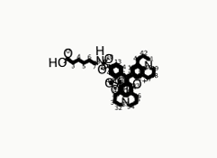 O=C(O)CCCCCNS(=O)(=O)c1ccc(-c2c3cc4c5c(c3[o+]c3c6c7c(cc23)CCCN7CCC6)CCCN5CCC4)c(S(=O)(=O)O)c1